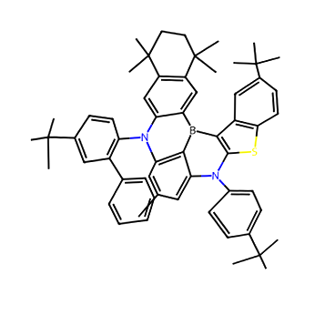 Cc1cc2c3c(c1)N(c1ccc(C(C)(C)C)cc1)c1sc4ccc(C(C)(C)C)cc4c1B3c1cc3c(cc1N2c1ccc(C(C)(C)C)cc1-c1ccccc1)C(C)(C)CCC3(C)C